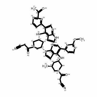 COc1nccc(-c2cnc3c(ccn3[C@H]3C[C@@H](Nc4c(-c5ccnc(C(C)=O)n5)cnc5[nH]ccc45)CN(C(=O)CC#N)C3)c2N[C@@H]2C[C@H](C)CN(C(=O)CC#N)C2)n1